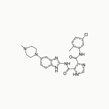 Cc1ccc(Cl)cc1NC(=O)c1nc[nH]c1C(=O)Nc1nc2cc(N3CCN(C)CC3)ccc2[nH]1